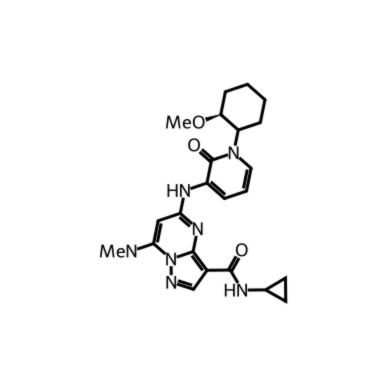 CNc1cc(Nc2cccn(C3CCCC[C@@H]3OC)c2=O)nc2c(C(=O)NC3CC3)cnn12